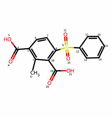 Cc1c(C(=O)O)ccc(S(=O)(=O)c2ccccc2)c1C(=O)O